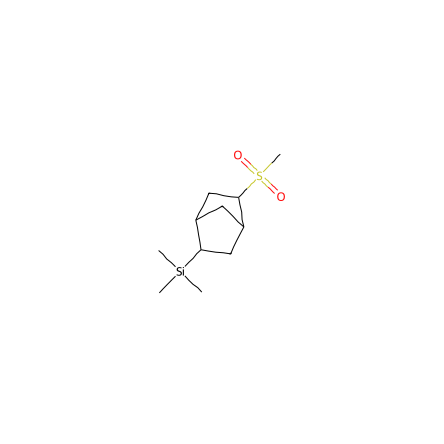 C[Si](C)(C)C1CC2CC1CC2S(C)(=O)=O